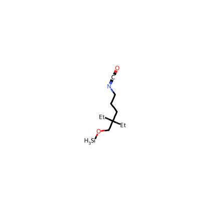 CCC(CC)(CCCN=C=O)CO[SiH3]